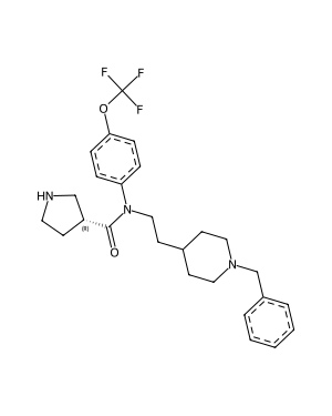 O=C([C@@H]1CCNC1)N(CCC1CCN(Cc2ccccc2)CC1)c1ccc(OC(F)(F)F)cc1